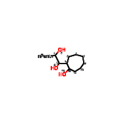 CCCCCC(O)C(O)C1CCCCCCC1O